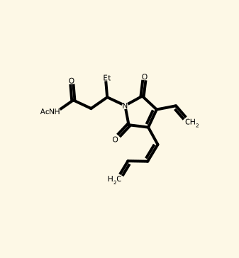 C=C/C=C\C1=C(C=C)C(=O)N(C(CC)CC(=O)NC(C)=O)C1=O